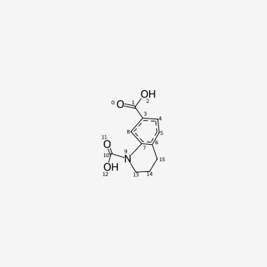 O=C(O)c1ccc2c(c1)N(C(=O)O)CCC2